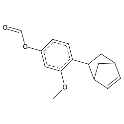 COc1cc(OC=O)ccc1C1CC2C=CC1C2